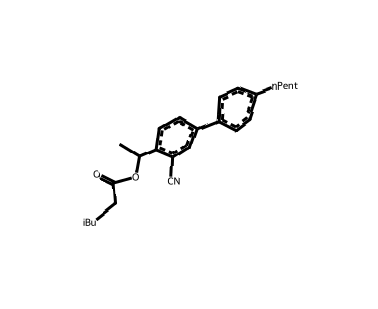 CCCCCc1ccc(-c2ccc(C(C)OC(=O)CC(C)CC)c(C#N)c2)cc1